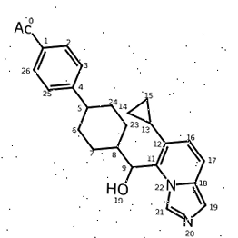 CC(=O)c1ccc(C2CCC(C(O)c3c(C4CC4)ccc4cncn34)CC2)cc1